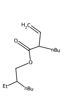 C=CC(CCCC)C(=O)OCC(CC)CCCC